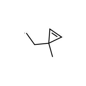 [CH2]CC1(C)C=C1